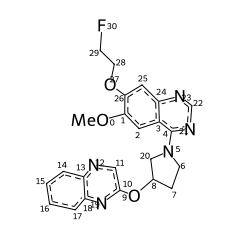 COc1cc2c(N3CCC(Oc4cnc5ccccc5n4)C3)ncnc2cc1OCCF